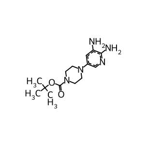 CC(C)(C)OC(=O)N1CCN(c2cnc(N)c(N)c2)CC1